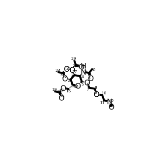 CC(=O)N[C@H]1[C@H](OCCOCCN=O)O[C@H](COC(C)=O)[C@H](OC(C)=O)[C@@H]1OC(C)=O